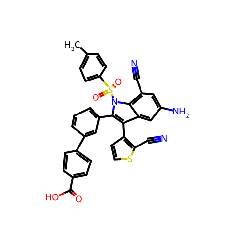 Cc1ccc(S(=O)(=O)n2c(-c3cccc(-c4ccc(C(=O)O)cc4)c3)c(-c3ccsc3C#N)c3cc(N)cc(C#N)c32)cc1